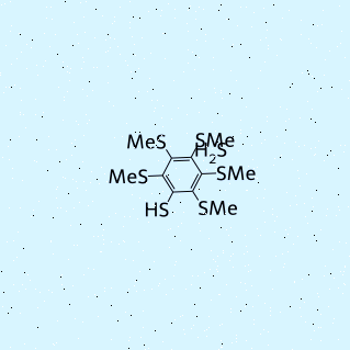 CSc1c(S)c(SC)c(SC)c(SC)c1SC.S